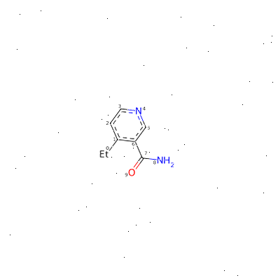 CCc1ccncc1C(N)=O